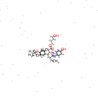 CCC(CC(CC(C)C(=O)OCCCCO)c1ccc(OC(C)(C)C)cc1)C(=O)Nc1ccc(O)cc1